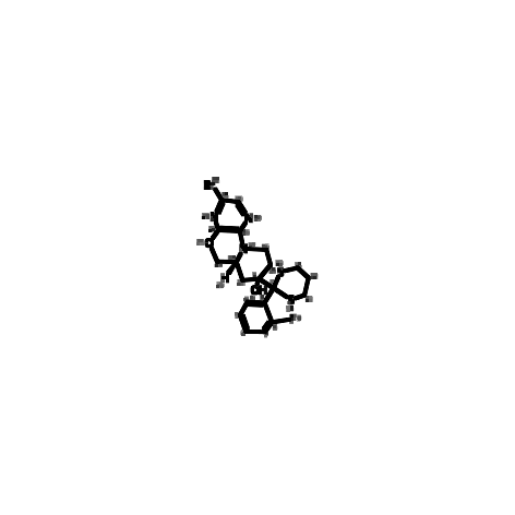 OC1(C2(c3ccccc3F)SCCCS2)CCN2c3ncc(Br)nc3OC[C@H]2C1